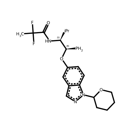 CC(C)[C@H](NC(=O)C(C)(F)F)[C@@H](P)Oc1ccc2c(cnn2C2CCCCO2)c1